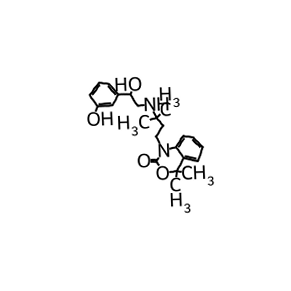 CC(C)(CCN1C(=O)OC(C)(C)c2ccccc21)NCC(O)c1cccc(O)c1